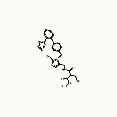 CCCCc1ncc(CNC(=O)C(CC(C)C)C(=O)NO)n1Cc1ccc(-c2ccccc2-c2nnn[nH]2)cc1